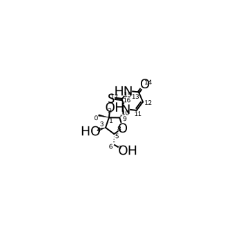 C[C@]1(O)[C@H](O)[C@@H](CO)O[C@H]1n1ccc(=O)[nH]c1=S